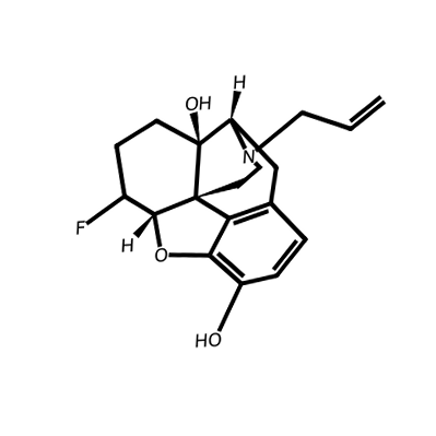 C=CCN1CC[C@@]23c4c5ccc(O)c4O[C@@H]2C(F)CC[C@]3(O)[C@@H]1C5